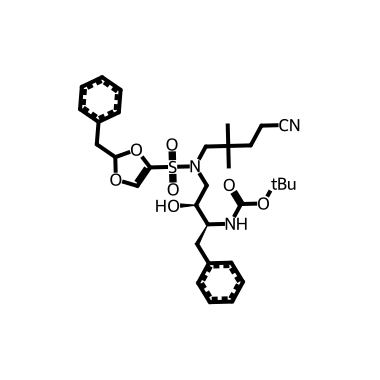 CC(C)(CCC#N)CN(C[C@H](O)[C@H](Cc1ccccc1)NC(=O)OC(C)(C)C)S(=O)(=O)C1=COC(Cc2ccccc2)O1